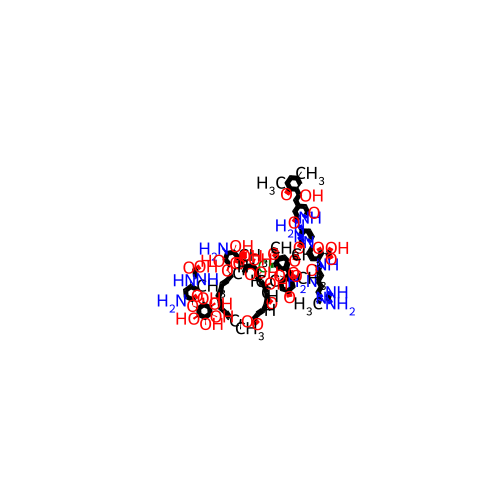 CN(CCC(N)CC(=O)N[C@H]1C=C[C@H](n2ccc(N)nc2=O)O[C@@H]1C(=O)O)C(=N)N.COC1=CC(=O)C[C@@H](C)[C@]12Oc1c(Cl)c(OC)cc(OC)c1C2=O.C[C@@H]1C/C=C/C=C/C=C/C=C/[C@H](O[C@@H]2O[C@H](C)[C@@H](O)[C@H](N)[C@@H]2O)C[C@@H]2O[C@](O)(C[C@@H](O)C[C@H]3O[C@@H]3/C=C/C(=O)O1)C[C@H](O)[C@H]2C(=O)O.C[C@@H]1C[C@@H]([C@H](O)CC2CC(=O)NC(=O)C2)C(=O)[C@@H](C)C1.C[C@H]1O[C@H](O[C@H]2[C@H](O)[C@@H](O)[C@@H](O)[C@H](O)[C@@H]2O)[C@@H](N)C[C@@H]1NC(=N)C(=O)O